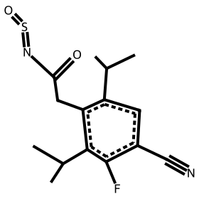 CC(C)c1cc(C#N)c(F)c(C(C)C)c1CC(=O)N=S=O